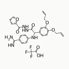 C=CCOc1ccc(C(Nc2ccc(C(=N)N)cc2)C(=O)NNC(=O)c2ccco2)cc1OCC=C.O=C(O)C(F)(F)F